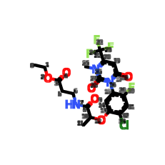 CCOC(=O)CCNC(=O)C(C)Oc1cc(-n2c(=O)cc(C(F)(F)F)n(C)c2=O)c(F)cc1Cl